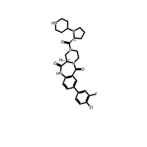 O=C1Nc2ccc(-c3ccc(Cl)c(F)c3)cc2C(=O)N2CCN(C(=O)[C@@H]3CCCN3C3CCNCC3)C[C@H]12